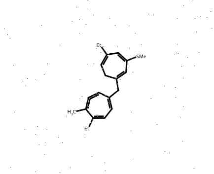 CCC1=CCC(CC2=CC=C(CC)C(C)=C=C2)=CC(SC)=C1